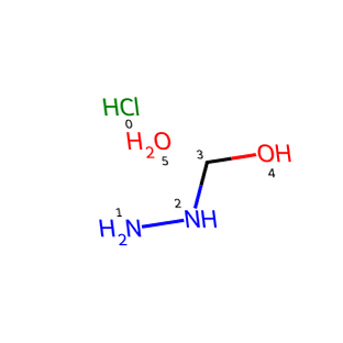 Cl.NNCO.O